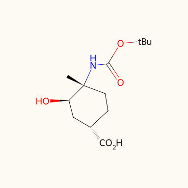 CC(C)(C)OC(=O)N[C@]1(C)CC[C@H](C(=O)O)C[C@H]1O